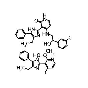 CCc1nc(-c2c(I)ccnc2OC)n(O)c1-c1ccccc1.CCc1nc(-c2c(NCC(O)c3cccc(Cl)c3)cc[nH]c2=O)[nH]c1-c1ccccc1